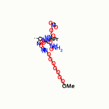 [CH2]c1ccc(NC(=O)[C@H](CCCNC(N)=O)NC(=O)[C@@H](NC(=O)CCOCCN2C(=O)C=CC2=O)C(C)C)cc1CN(C)C(=O)OCc1cn(CCOCCOCCOCCOCCOCCOCCOCCOC)nn1